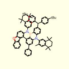 Cc1cc2c(cc1N1c3ccc(C(c4ccc(C(C)(C)C)cc4)c4ccc(C(C)(C)C)cc4)cc3B3c4c(cc(-c5ccccc5)cc41)-c1c(ccc4oc5ccccc5c14)N3c1ccc3c(c1)C(C)(C)CCC3(C)C)C(C)(C)CCC2(C)C